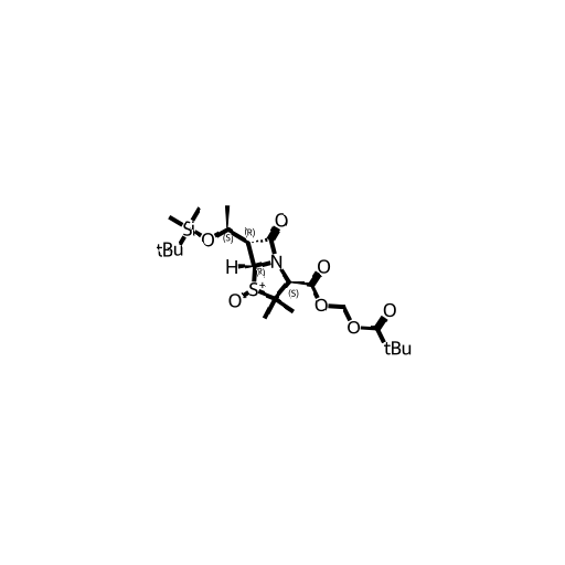 C[C@H](O[Si](C)(C)C(C)(C)C)[C@@H]1C(=O)N2[C@@H]1[S+]([O-])C(C)(C)[C@@H]2C(=O)OCOC(=O)C(C)(C)C